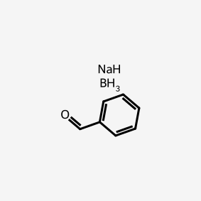 B.O=Cc1ccccc1.[NaH]